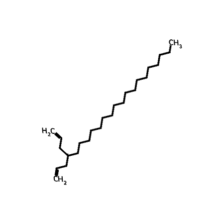 C=CC[C](CC=C)CCCCCCCCCCCCCCCCCC